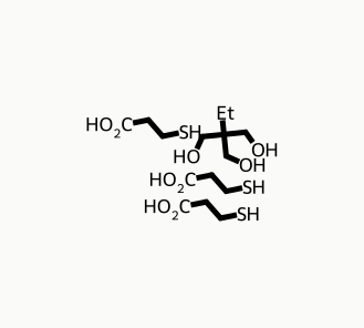 CCC(CO)(CO)CO.O=C(O)CCS.O=C(O)CCS.O=C(O)CCS